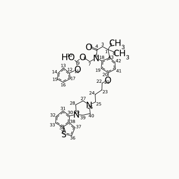 CC1(C)CC(=O)N(COC(O)Oc2ccccc2)c2cc(OCCCCN3CCN(c4cccc5sccc45)CC3)ccc21